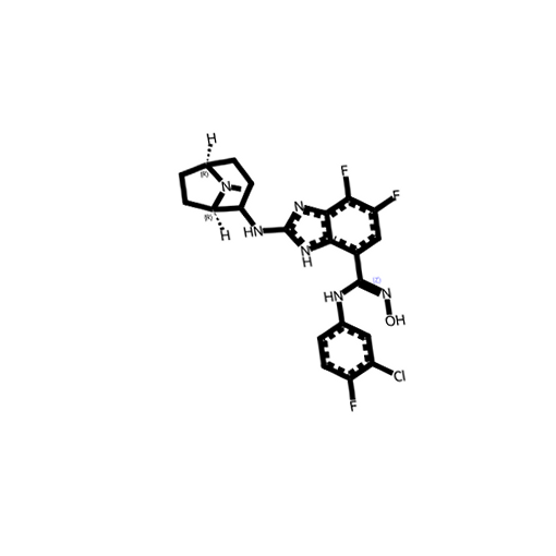 CN1[C@@H]2CCC(Nc3nc4c(F)c(F)cc(/C(=N/O)Nc5ccc(F)c(Cl)c5)c4[nH]3)[C@H]1CC2